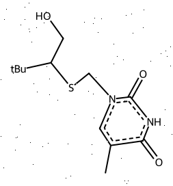 Cc1cn(CSC(CO)C(C)(C)C)c(=O)[nH]c1=O